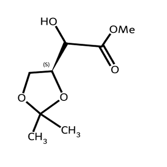 COC(=O)C(O)[C@@H]1COC(C)(C)O1